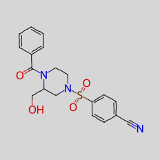 N#Cc1ccc(S(=O)(=O)N2CCN(C(=O)c3ccccc3)C(CO)C2)cc1